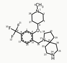 CN1CCC(Oc2cc(C(F)(F)F)ccc2CN2CCCC23CCNCC3)CC1